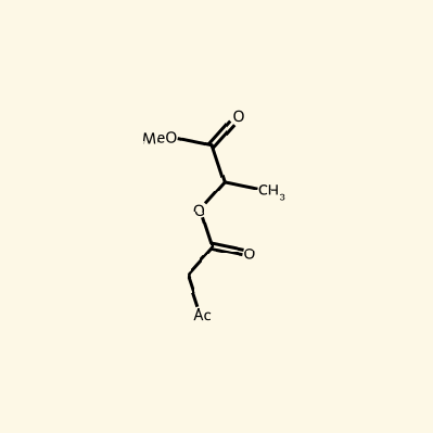 COC(=O)C(C)OC(=O)CC(C)=O